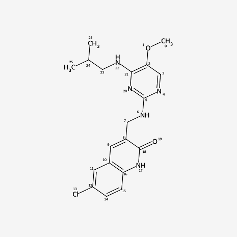 COc1cnc(NCc2cc3cc(Cl)ccc3[nH]c2=O)nc1NCC(C)C